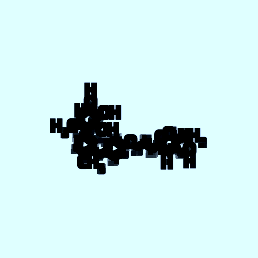 Cc1ccc([C@H]2[C@H](O)[C@H](O)[C@H](O)C[SH]2C)cc1Cc1ccc(OCCCC(=O)N[C@@H](CO)C(N)=O)cc1